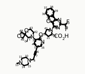 C[C@@H]1N(c2cc(C#CCN3CCN(C)CC3)cnc2O[C@H]2C[C@@H](C(=O)O)N(c3nc(C(F)F)nc4c3oc3ccccc34)C2)CCOC12COC2